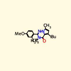 CCC(C)c1cc(C)n2nc(-c3ccc(OC)cc3C(F)(F)F)n(C)c(=O)c12